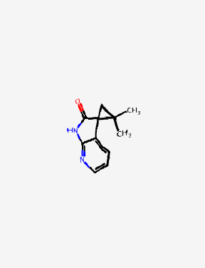 CC1(C)CC12C(=O)Nc1ncccc12